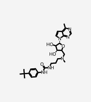 Cc1ncnc2c1ccn2[C@@H]1OC(CN(C)CCCNC(=O)Nc2ccc(C(C)(C)C)cc2)[C@@H](O)C1O